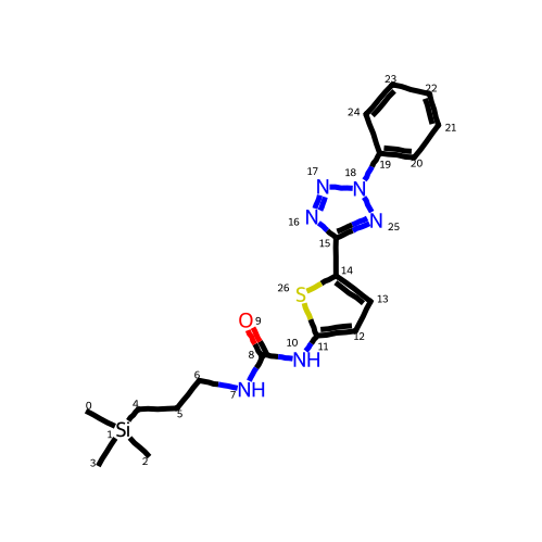 C[Si](C)(C)CCCNC(=O)Nc1ccc(-c2nnn(-c3ccccc3)n2)s1